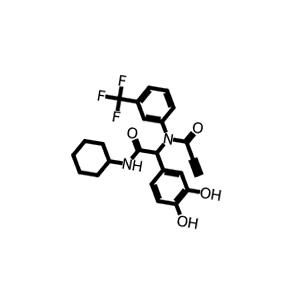 C#CC(=O)N(c1cccc(C(F)(F)F)c1)C(C(=O)NC1CCCCC1)c1ccc(O)c(O)c1